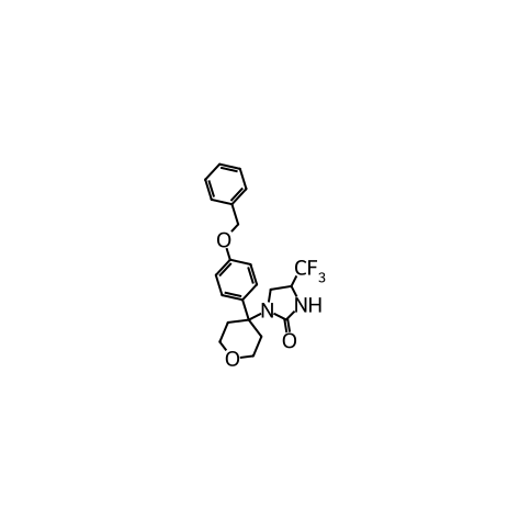 O=C1NC(C(F)(F)F)CN1C1(c2ccc(OCc3ccccc3)cc2)CCOCC1